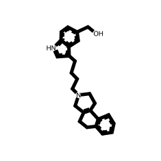 OCc1ccc2[nH]cc(CCCCN3CCC4=C(CCc5ccccc54)C3)c2c1